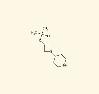 CC(C)(C)OC1CN(C2CCNCC2)C1